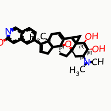 CN(C)[C@H]1C[C@@]23CC[C@@]4(O2)C(=CC[C@]2(C)C(c5ccc6cnc(O)cc6c5)=CCC24)C2CC23[C@@H](O)[C@@H]1O